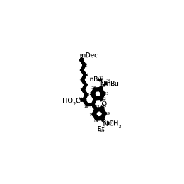 CCCCCCCCCCCCCCCCCCC(CC1c2ccc(N(C)CC)cc2Oc2cc(N(CCCC)CCCC)ccc21)C(=O)O